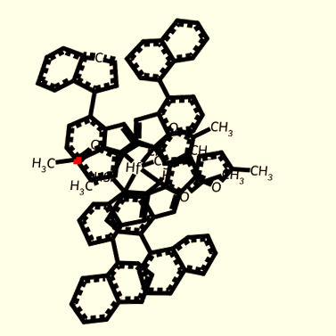 Cc1ccc(C2=Cc3c(-c4cccc5ccccc45)cccc3[C]23[SiH](C)[C]2(C(c4ccc(C)o4)=Cc4c(-c5cccc6ccccc56)cccc42)[Hf]32([Cl])([Cl])[C]3(C(c4ccc(C)o4)=Cc4c(-c5cccc6ccccc56)cccc43)[SiH](C)[C]23C(c2ccc(C)o2)=Cc2c(-c4cccc5ccccc45)cccc23)o1